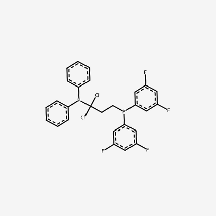 Fc1cc(F)cc(P(CCC(Cl)(Cl)P(c2ccccc2)c2ccccc2)c2cc(F)cc(F)c2)c1